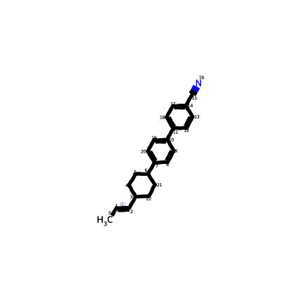 C/C=C/C1CCC(c2ccc(-c3ccc(C#N)cc3)cc2)CC1